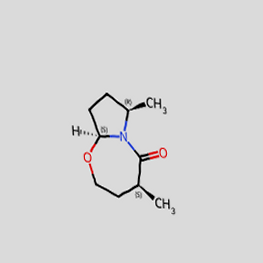 C[C@@H]1CC[C@@H]2OCC[C@H](C)C(=O)N12